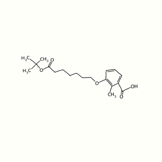 Cc1c(OCCCCCCC(=O)OC(C)(C)C)cccc1C(=O)O